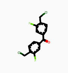 O=C(c1ccc(CCl)c(F)c1)c1ccc(CCl)c(F)c1